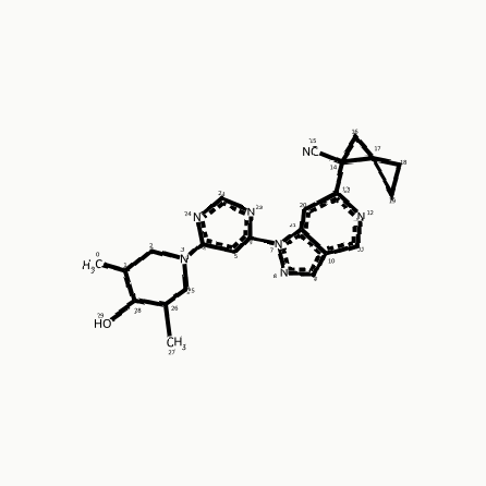 CC1CN(c2cc(-n3ncc4cnc(C5(C#N)CC56CC6)cc43)ncn2)CC(C)C1O